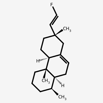 C[C@H]1CCC[C@]2(C)[C@H]3CC[C@](C)(/C=C/F)CC3=CC[C@@H]12